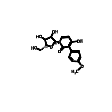 COc1ccc(-c2c(O)ccn([C@@H]3O[C@H](CO)C(O)C3O)c2=O)cc1